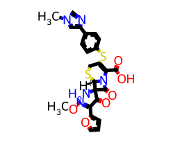 CON=C(C(=O)C1(N)C(=O)N2C(C(=O)O)=C(Sc3ccc(-c4cn(C)cn4)cc3)CS[C@H]21)c1ccco1